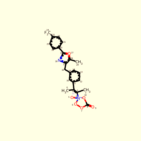 C/C(=C(/C)[N+]1([O-])OOC(=O)O1)c1cccc(Cc2nc(-c3ccc(C(F)(F)F)cc3)oc2C)c1